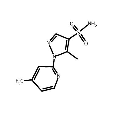 Cc1c(S(N)(=O)=O)cnn1-c1cc(C(F)(F)F)ccn1